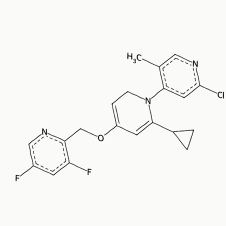 Cc1cnc(Cl)cc1N1CC=C(OCc2ncc(F)cc2F)C=C1C1CC1